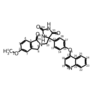 COc1ccc2c(c1)CN(CC1(c3ccc(Oc4ccnc5ccccc45)cc3)NC(=O)NC1=O)C2=O